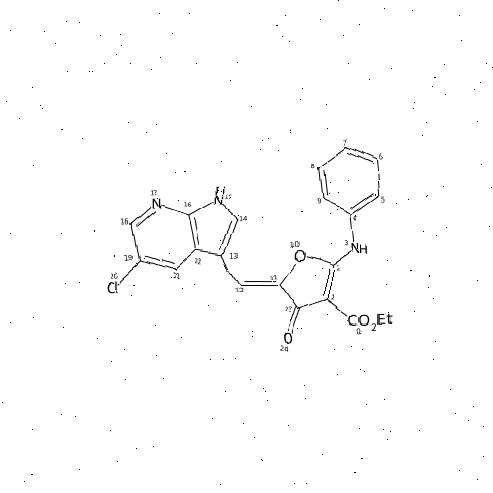 CCOC(=O)C1=C(Nc2ccccc2)OC(=Cc2c[nH]c3ncc(Cl)cc23)C1=O